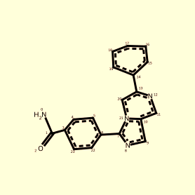 NC(=O)c1ccc(-c2ncc3cnc(-c4ccccc4)cn23)cc1